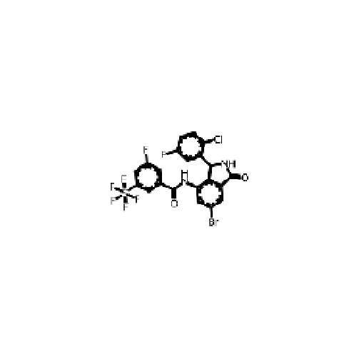 O=C(Nc1cc(Br)cc2c1C(c1cc(F)ccc1Cl)NC2=O)c1cc(F)cc(S(F)(F)(F)(F)F)c1